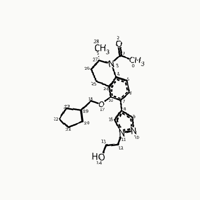 CC(=O)N1c2ccc(-c3cnn(CCO)c3)c(OCC3CCCC3)c2CC[C@@H]1C